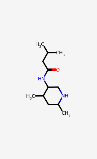 CC(C)CC(=O)NC1CNC(C)CC1C